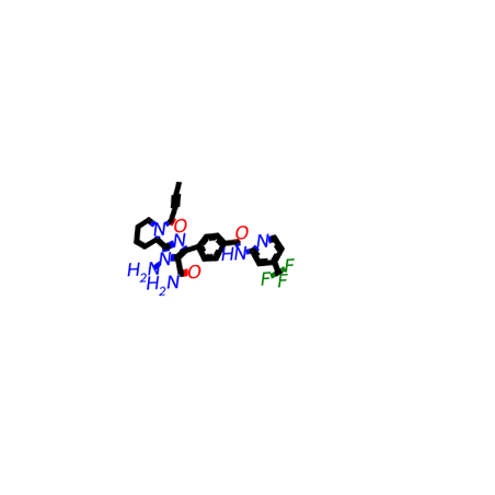 CC#CC(=O)N1CCCCC1c1nc(-c2ccc(C(=O)Nc3cc(C(F)(F)F)ccn3)cc2)c(C(N)=O)n1N